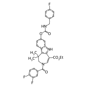 CCOC(=O)C1=CN(C(=O)c2ccc(F)c(F)c2)CC(C)(C)c2c1[nH]c1cc(OC(=O)NCc3ccc(F)cc3)ccc21